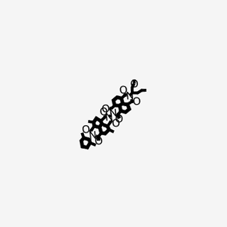 CCCC(COC)N1C(=O)c2ccc3c4c(ccc(c24)C1=O)C(=O)N(N1C(=O)c2cc(C)c4c5c(cc(C)c(c25)C1=O)C(=O)N(c1c(C)cccc1C)C4=O)C3=O